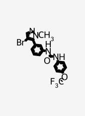 Cn1ncc(Br)c1-c1cccc(NC(=O)Nc2ccc(OC(F)(F)F)cc2)c1